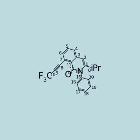 CC(C)c1cc2cccc(C#CC(F)(F)F)c2c(=O)n1-c1ccccc1